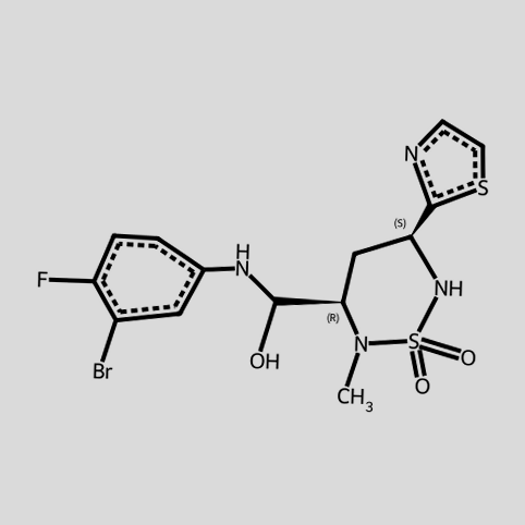 CN1[C@@H](C(O)Nc2ccc(F)c(Br)c2)C[C@@H](c2nccs2)NS1(=O)=O